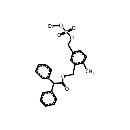 CCOS(=O)(=O)OCc1ccc(C)c(COC(=O)C(c2ccccc2)c2ccccc2)c1